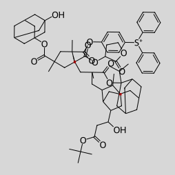 CC1C2CC(C(O)CC(=O)OC(C)(C)C)C(C2)C1CC(C)(CC(C)(CC(C)(CC(C)(C)C(=O)Oc1ccc([S+](c2ccccc2)c2ccccc2)cc1)C(=O)OC12CC3CC(CC(O)(C3)C1)C2)C(=O)OC1CCOC1=O)C(=O)OC1(C(C)C)C2CC3CC(C2)CC1C3